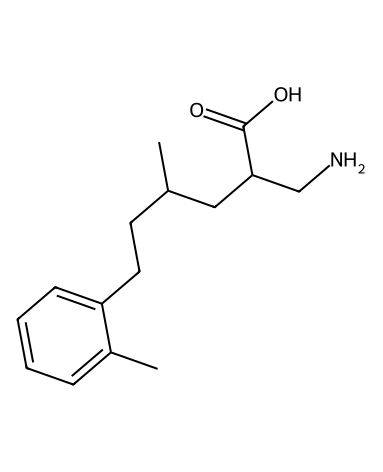 Cc1ccccc1CCC(C)CC(CN)C(=O)O